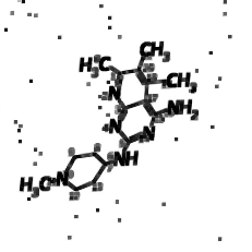 Cc1nc2nc(NC3CCN(C)CC3)nc(N)c2c(C)c1C